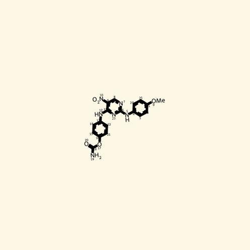 COc1ccc(Nc2ncc([N+](=O)[O-])c(Nc3ccc(OC(N)=O)cc3)n2)cc1